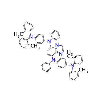 Cc1ccccc1N(c1ccc(N(c2ccccc2)c2ccc(N(c3ccccc3)c3ccc(N(c4ccccc4C)c4ccccc4C)cc3)c3nccnc23)cc1)c1ccccc1C